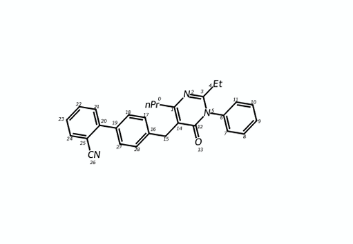 CCCc1nc(CC)n(-c2ccccc2)c(=O)c1Cc1ccc(-c2ccccc2C#N)cc1